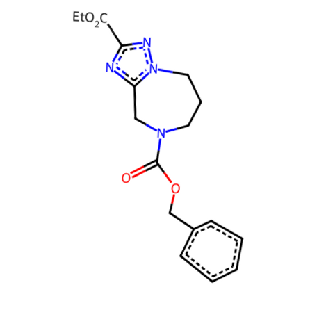 CCOC(=O)c1nc2n(n1)CCCN(C(=O)OCc1ccccc1)C2